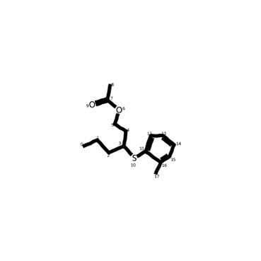 CCCC(CCOC(C)=O)Sc1ccccc1C